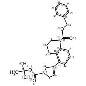 CC(C)(C)OC(=O)N1CC=C(c2cccc3c2OCCN3C(=O)OCc2ccccc2)C1